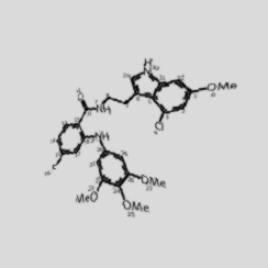 COc1cc(Cl)c2c(CCNC(=O)c3ccc(F)cc3Nc3cc(OC)c(OC)c(OC)c3)c[nH]c2c1